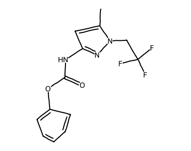 Cc1cc(NC(=O)Oc2ccccc2)nn1CC(F)(F)F